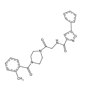 Cc1ccccc1C(=O)N1CCN(C(=O)CNC(=O)c2cc(-c3ccccc3)on2)CC1